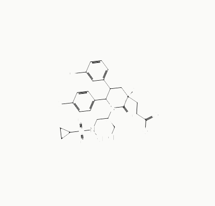 CC[C@@H](CN(C)S(=O)(=O)C1CC1)N1C(=O)[C@@](C)(CCC(=O)O)CC(c2cccc(Cl)c2)C1c1ccc(Cl)cc1